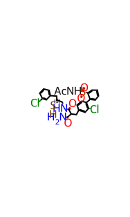 CC(=O)NS(=O)(=O)c1ccccc1-c1ccc(CC(C(N)=O)C(=O)NC[C@@H](S)Cc2cccc(Cl)c2)cc1Cl